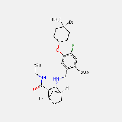 CC[C@]1(C(=O)O)CC[C@@H](Oc2cc(CN[C@@H]3[C@H]4CC[C@H](C4)[C@@H]3C(=O)NCC(C)(C)C)c(OC)cc2F)CC1